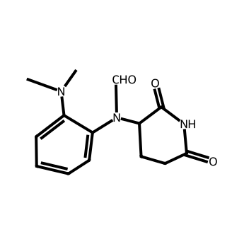 CN(C)c1ccccc1N(C=O)C1CCC(=O)NC1=O